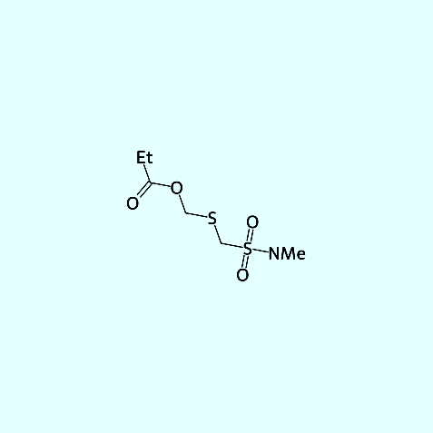 CCC(=O)OCSCS(=O)(=O)NC